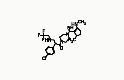 CNC1=C(C(=N)N2CCN(C(=O)C(CNCC(F)(F)F)c3ccc(Cl)cc3)CC2)[C@H](C)CC1